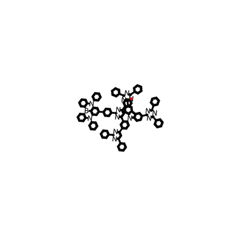 c1ccc(-c2cc(-c3ccc(-n4c5ccc(-c6nc(-c7ccccc7)nc(-c7ccccc7)n6)cc5c5cc(-c6nc(-c7ccccc7)nc(-c7ccccc7)n6)ccc54)c(-c4cc(-c5ccccc5)nc(-c5ccc(-c6cc7c8c(c6)N(c6ccccc6)c6ccccc6B8c6ccccc6N7c6ccccc6)cc5)n4)c3)nc(-c3ccccc3)n2)cc1